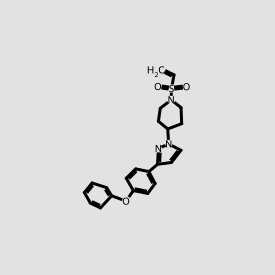 C=CS(=O)(=O)N1CCC(n2ccc(-c3ccc(Oc4ccccc4)cc3)n2)CC1